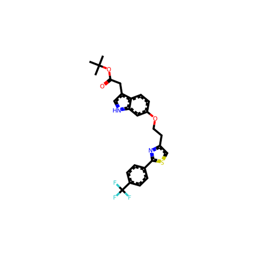 CC(C)(C)OC(=O)Cc1c[nH]c2cc(OCCc3csc(-c4ccc(C(F)(F)F)cc4)n3)ccc12